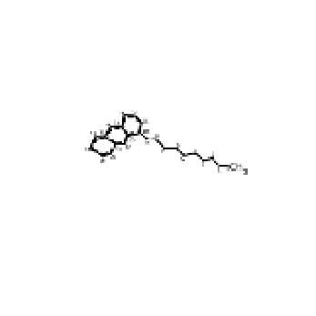 CCCCCCCCCCc1cccc2cc3ccc[c]c3cc12